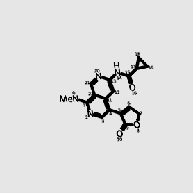 CNc1ncc(C2=CCOC2=O)c2cc(NC(=O)C3CC3)ncc12